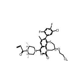 C=CC(=O)N1[C@H](C)CN(c2nc(=O)n3c4c(c(-c5cc(Cl)c(F)cc5F)c(C)cc24)SC[C@@H](OCCOC)C3)C[C@@H]1C